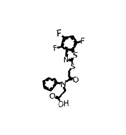 O=C(O)CN(C(=O)CSc1nc2c(F)c(F)cc(F)c2s1)c1ccccc1